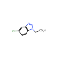 O=C(O)Cn1nnc2cc(Cl)ccc21